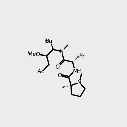 CC[C@H](C)C([C@@H](CC(C)=O)OC)N(C)C(=O)[C@@H](NC(=O)[C@]1(C)CCCN1C)C(C)C